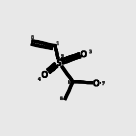 C=CS(=O)(=O)C(C)[O]